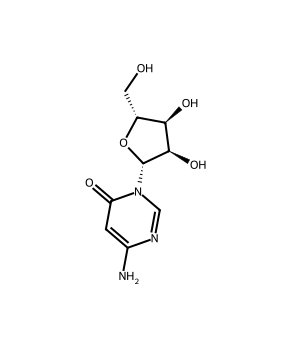 Nc1cc(=O)n([C@@H]2O[C@H](CO)[C@@H](O)[C@H]2O)cn1